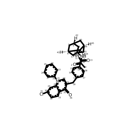 CC(=O)N[C@]12C[C@@H]3C[C@H](C1)[C@@H](NC(=O)c1ccc(Cc4cn(-c5ccccc5)c5cc(Cl)ccc5c4=O)cc1)[C@@H](C3)C2